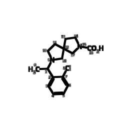 CC(c1ccccc1Cl)N1CCC2(CCN(C(=O)O)C2)C1